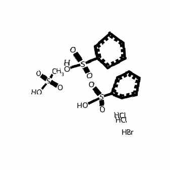 Br.CS(=O)(=O)O.Cl.Cl.O=S(=O)(O)c1ccccc1.O=S(=O)(O)c1ccccc1